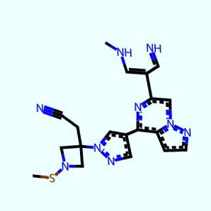 CN/C=C(\C=N)c1cn2nccc2c(-c2cnn(C3(CC#N)CN(SC)C3)c2)n1